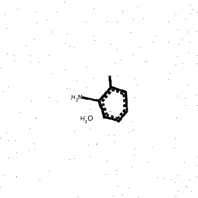 Cc1ccccc1N.O